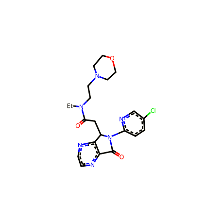 CCN(CCN1CCOCC1)C(=O)CC1c2nccnc2C(=O)N1c1ccc(Cl)cn1